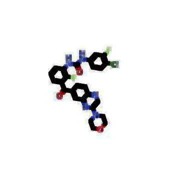 O=C(Nc1ccc(Cl)c(F)c1)Nc1cccc(C(=O)c2ccc3ncc(N4CCOCC4)nc3c2)c1F